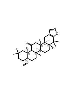 C=C[C@]12CCC(C)(C)C[C@@H]1C1C(=O)C[C@@H]3[C@@]4(C)Cc5cnoc5C(C)(C)[C@@H]4CC[C@@]3(C)[C@]1(C)CC2